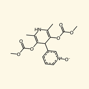 COC(=O)OC1=C(C)NC(C)=C(OC(=O)OC)C1c1ccc[n+]([O-])c1